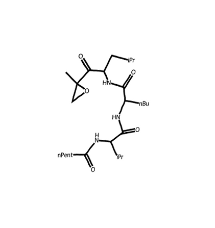 CCCCCC(=O)NC(C(=O)NC(CCCC)C(=O)NC(CC(C)C)C(=O)C1(C)CO1)C(C)C